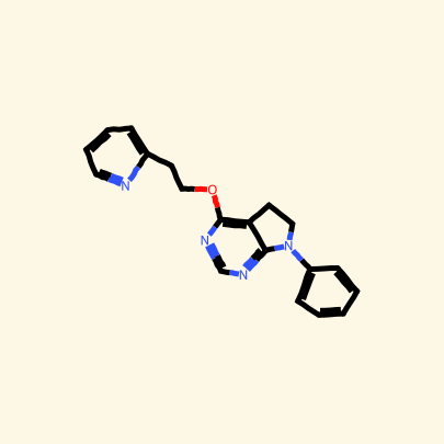 c1ccc(N2CCc3c(OCCc4ccccn4)ncnc32)cc1